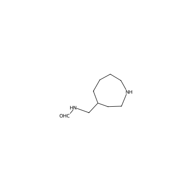 O=CNCC1CCCCNCC1